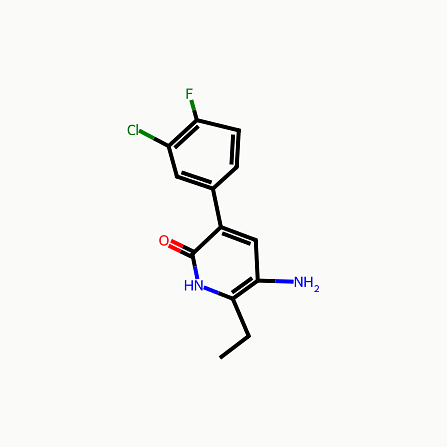 CCc1[nH]c(=O)c(-c2ccc(F)c(Cl)c2)cc1N